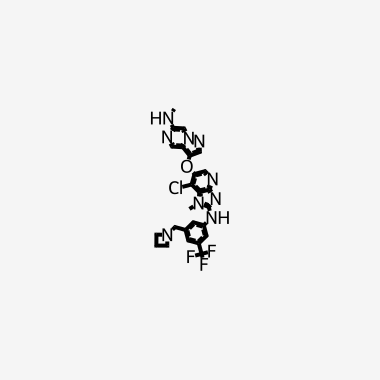 CNc1cn2ncc(Oc3cnc4nc(Nc5cc(CN6CCC6)cc(C(F)(F)F)c5)n(C)c4c3Cl)c2cn1